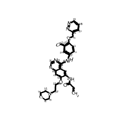 C=CC(=O)Nc1cc2c(Nc3ccc(OCc4cccnn4)c(Cl)c3)ncnc2cc1OCCN1CCOCC1